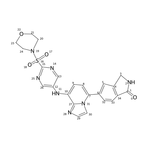 O=C1NCc2cc(-c3ccc(Nc4cnc(S(=O)(=O)N5CCOCC5)nc4)c4nccn34)ccc21